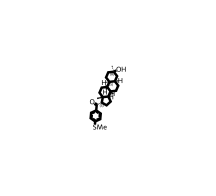 CSc1ccc(C(=O)[C@H]2CC[C@H]3[C@@H]4CC[C@@H]5C[C@](C)(O)CC[C@@H]5[C@H]4CC[C@@]23C)cc1